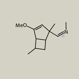 C/N=C\C1(C)C=C(OC)C2C(C)CC21